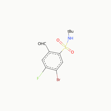 CC(C)(C)NS(=O)(=O)c1cc(Br)c(F)cc1C=O